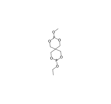 CCOP1OCC2(COP(OC)OC2)CO1